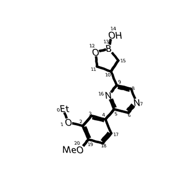 CCOc1cc(-c2cncc(C3COB(O)C3)n2)ccc1OC